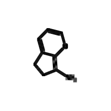 NC1=C2OC=CC=C2CC1